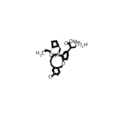 C=CC(O)[C@@H]1CC[C@H]1CN1CCCCc2cc(Cl)ccc2COc2ccc(C(CC(=O)O)C(=O)OC)cc21